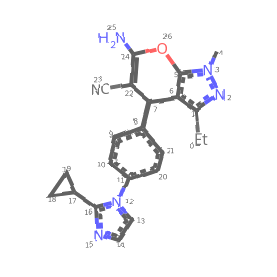 CCc1nn(C)c2c1C(c1ccc(-n3ccnc3C3CC3)cc1)C(C#N)=C(N)O2